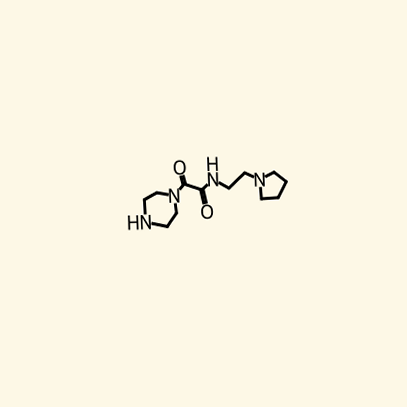 O=C(NCCN1CCCC1)C(=O)N1CCNCC1